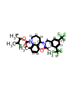 CC(=O)N(Cc1cc(C(F)(F)F)cc(C(F)(F)F)c1)C1CCCN(C(=O)OC(C)C(C)F)c2c(C)cccc21